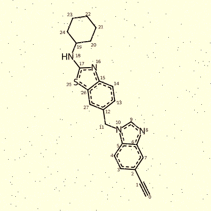 C#Cc1ccc2c(c1)ncn2Cc1ccc2nc(NC3CCCCC3)sc2c1